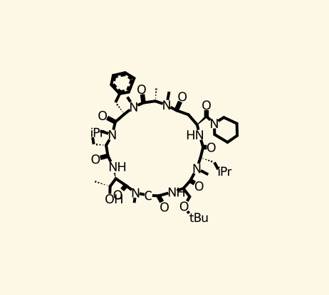 CC(C)C[C@H]1C(=O)N[C@H](C(=O)N2CCCCC2)CC(=O)N(C)[C@@H](C)C(=O)N(C)[C@@H](Cc2ccccc2)C(=O)N(C)[C@@H](CC(C)C)C(=O)N[C@@H]([C@@H](C)O)C(=O)N(C)CC(=O)NC(COC(C)(C)C)C(=O)N1C